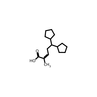 CC(=CCC(C1CCCC1)C1CCCC1)C(=O)O